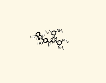 N[C@@H]1C[C@H](N)CN(c2nc(Nc3ccc(NC(=O)c4cccc(O)c4O)c(O)c3)nc(N3C[C@H](N)C[C@H](N)C3)n2)C1